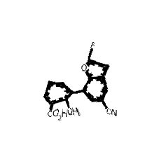 N#Cc1cc(-c2cccc(C(=O)O)c2O)c2oc(F)cc2c1